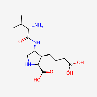 CC(C)[C@H](N)C(=O)N[C@H]1CN[C@H](C(=O)O)[C@@H]1CCCB(O)O